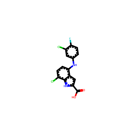 O=C(O)c1cc2c(Nc3ccc(F)c(Cl)c3)ccc(Cl)c2[nH]1